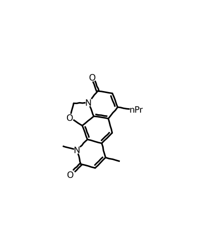 CCCc1cc(=O)n2c3c(c4c(cc13)c(C)cc(=O)n4C)OC2